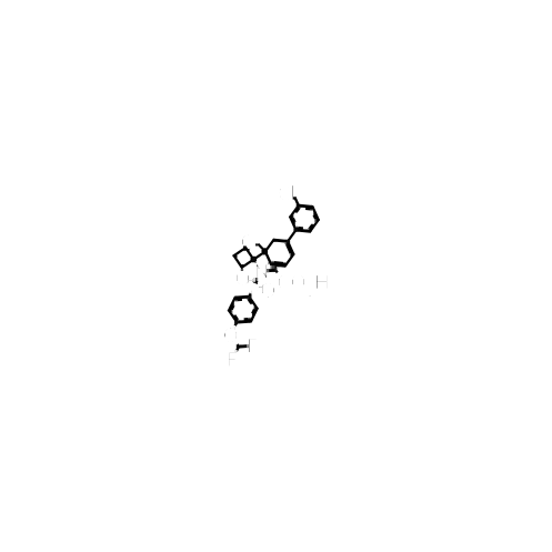 O=C(O)CN(C1(C2(Cl)C=CC=C(c3cccc(Cl)c3)C2)CCC1)S(=O)(=O)c1ccc(OC(F)F)cc1